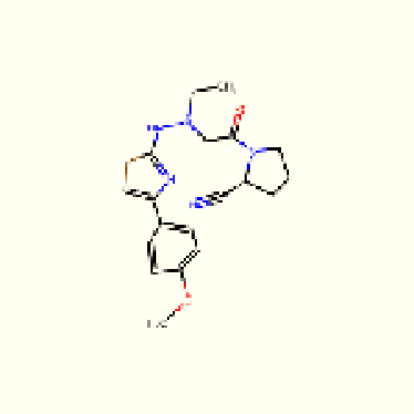 CCN(CC(=O)N1CCC[C@H]1C#N)Nc1nc(-c2ccc(OC)cc2)cs1